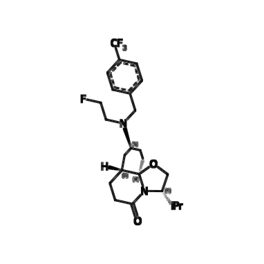 CC(C)[C@H]1CO[C@]23CC[C@H](N(CCF)Cc4ccc(C(F)(F)F)cc4)C[C@H]2CCC(=O)N13